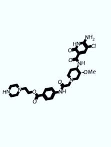 CO[C@@H]1CN(CC(=O)Nc2ccc(C(=O)OCCN3CCNCC3)cc2)CC[C@H]1NC(=O)c1cc(Cl)c(N)[nH]c1=O